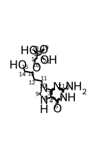 Nc1nc2c(c(=O)[nH]1)NCN2CCC(CO)OCP(=O)(O)O